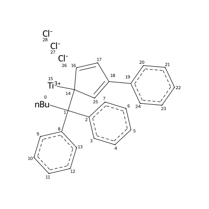 CCCCC(c1ccccc1)(c1ccccc1)[C]1([Ti+3])C=CC(c2ccccc2)=C1.[Cl-].[Cl-].[Cl-]